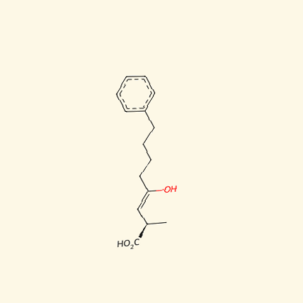 C[C@H](C=C(O)CCCCc1ccccc1)C(=O)O